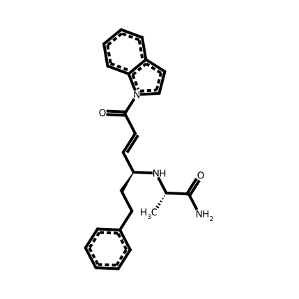 C[C@H](N[C@H](/C=C/C(=O)n1ccc2ccccc21)CCc1ccccc1)C(N)=O